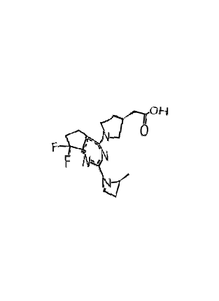 C[C@H]1CCN1c1nc(N2CC[C@@H](CC(=O)O)C2)c2c(n1)C(F)(F)CC2